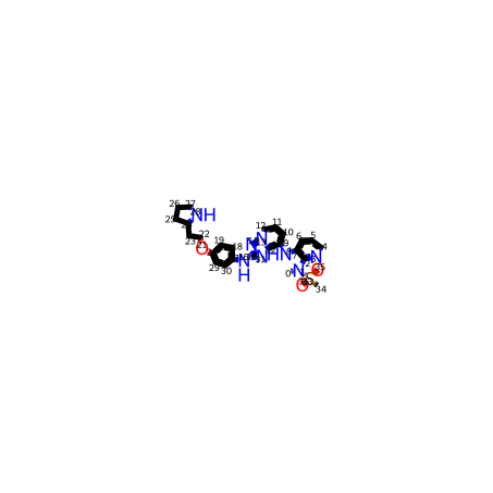 CN(c1ncccc1Nc1cccn2nc(Nc3ccc(OCCC4CCCN4)cc3)nc12)S(C)(=O)=O